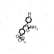 CS(=O)(=O)N1CCC(CN(C(N)=O)C2CCNCC2)CC1